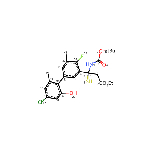 CCOC(=O)C[C@@](S)(NC(=O)OC(C)(C)C)c1cc(-c2c(C)cc(Cl)cc2O)cc(C)c1F